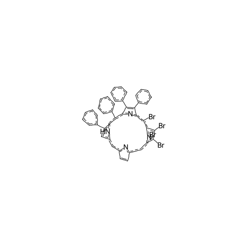 Brc1c(Br)c2c(Br)c3nc(c(-c4ccccc4)c4[nH]c(cc5nc(cc1n2Br)C=C5)cc4-c1ccccc1)C(c1ccccc1)=C3c1ccccc1